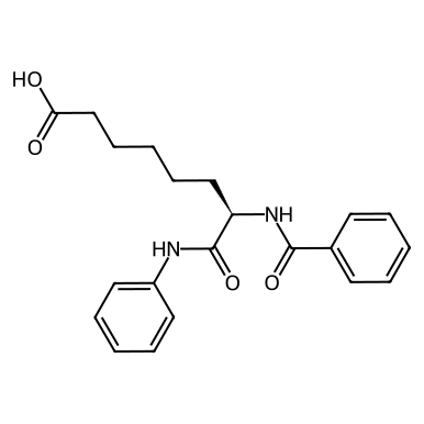 O=C(O)CCCCC[C@@H](NC(=O)c1ccccc1)C(=O)Nc1ccccc1